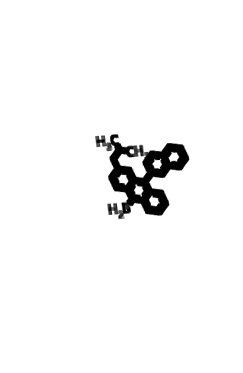 Bc1c2ccccc2c(-c2ccc3ccccc3c2)c2cc(CC(C)C)ccc12